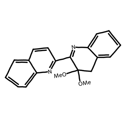 COC1(OC)Cc2ccccc2N=C1c1ccc2ccccc2n1